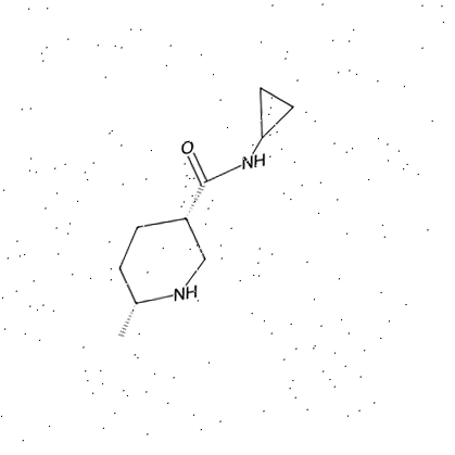 C[C@@H]1CC[C@H](C(=O)NC2CC2)CN1